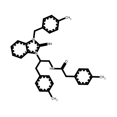 Cc1ccc(CC(=O)NCC(Cc2ccc(C)cc2)n2c(=N)n(Cc3ccc(C)cc3)c3ccccc32)cc1